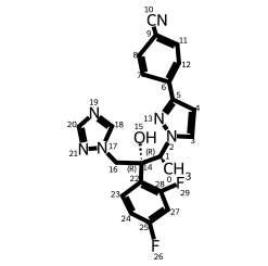 C[C@@H](n1ccc(-c2ccc(C#N)cc2)n1)[C@](O)(Cn1cncn1)c1ccc(F)cc1F